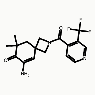 CC1(C)CC2(C=C(N)C1=O)CN(C(=O)c1ccncc1C(F)(F)F)C2